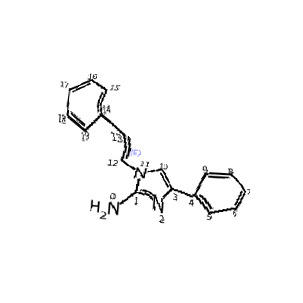 Nc1nc(-c2ccccc2)cn1/C=C/c1ccccc1